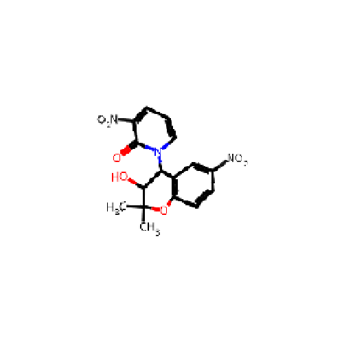 CC1(C)Oc2ccc([N+](=O)[O-])cc2C(n2cccc([N+](=O)[O-])c2=O)C1O